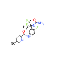 C[C@]1(c2cc(NC(=O)c3ccc(C#N)cn3)ccc2F)N=C(N)OCC1(F)F